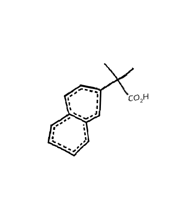 CC(C)(C(=O)O)c1ccc2ccccc2c1